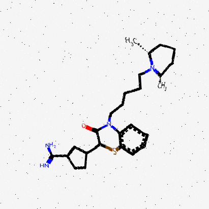 C[C@@H]1CCC[C@H](C)N1CCCCCN1C(=O)C(C2CCC(C(=N)N)C2)Sc2ccccc21